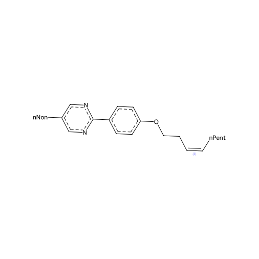 CCCCC/C=C\CCOc1ccc(-c2ncc(CCCCCCCCC)cn2)cc1